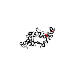 CC[C@H](C)[C@@H]([C@@H](CC(=O)N1CCC[C@H]1[C@H](OC)[C@@H](C)C(=O)N[C@@H](Cc1cccc(NC(=O)[C@H](CCCNC(N)=O)NC(=O)[C@@H](NC(=O)CCOCCN2C(=O)C=CC2=O)C(C)C)c1)c1nccs1)OC)N(C)C(=O)[C@@H](NC(=O)[C@@H]1C2CC[C@@H]([C@H]2C)N1C)C(C)C